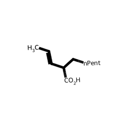 C/C=C/C(CCCCCC)C(=O)O